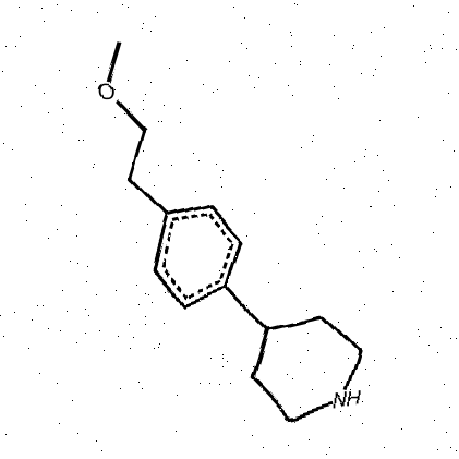 COCCc1ccc(C2CCNCC2)cc1